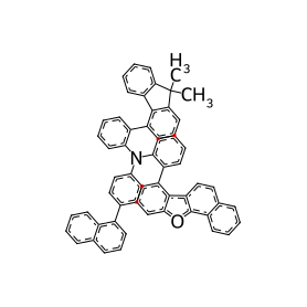 CC1(C)c2ccccc2-c2c(-c3ccccc3N(c3ccc(-c4cccc5ccccc45)cc3)c3ccccc3-c3cccc4oc5c6ccccc6ccc5c34)cccc21